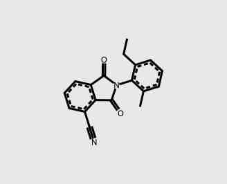 CCc1cccc(C)c1N1C(=O)c2cccc(C#N)c2C1=O